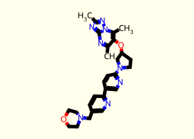 Cc1nc2nc(C)c(OC3CCN(c4ccc(-c5ccc(CN6CCOCC6)cn5)cn4)C3)c(C)n2n1